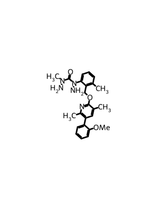 COc1ccccc1-c1cc(C)c(OCc2c(C)cccc2N(N)C(=O)N(C)N)nc1C